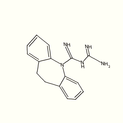 N=C(N)NC(=N)N1c2ccccc2CCc2ccccc21